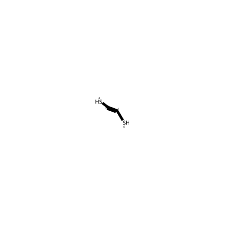 SC=CS